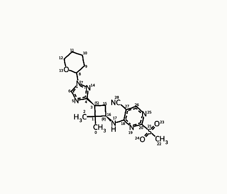 CC1(C)[C@@H](c2ncn(C3CCCCO3)n2)C[C@H]1Nc1nc(S(C)(=O)=O)ncc1C#N